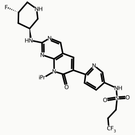 CC(C)n1c(=O)c(-c2ccc(NS(=O)(=O)CCC(F)(F)F)cn2)cc2cnc(N[C@@H]3CNC[C@@H](F)C3)nc21